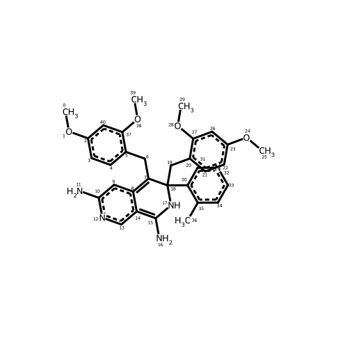 COc1ccc(CC2=c3cc(N)ncc3=C(N)NC2(Cc2ccc(OC)cc2OC)c2cnccc2C)c(OC)c1